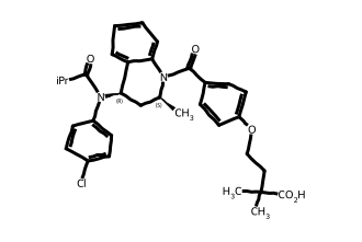 CC(C)C(=O)N(c1ccc(Cl)cc1)[C@@H]1C[C@H](C)N(C(=O)c2ccc(OCCC(C)(C)C(=O)O)cc2)c2ccccc21